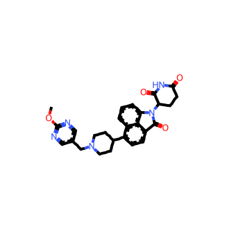 COc1ncc(CN2CCC(c3ccc4c5c(cccc35)N(C3CCC(=O)NC3=O)C4=O)CC2)cn1